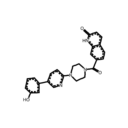 O=C(c1ccc2ccc(=O)[nH]c2c1)N1CCN(c2ccc(-c3cccc(O)c3)cn2)CC1